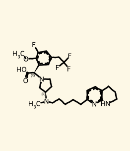 COc1c(F)cc(CC(F)(F)F)cc1[C@H](C(=O)O)N1CC[C@@H](N(C)CCCCCc2ccc3c(n2)NCCC3)C1